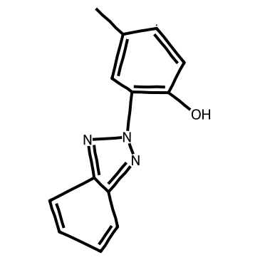 Cc1[c]cc(O)c(-n2nc3ccccc3n2)c1